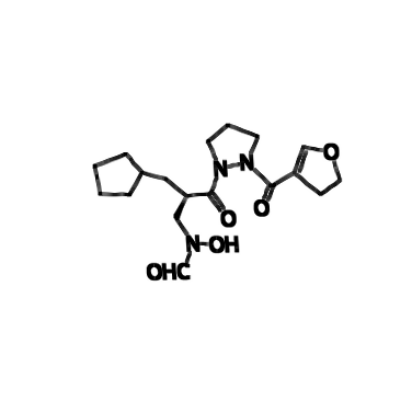 O=CN(O)C[C@@H](CC1CCCC1)C(=O)N1CCCN1C(=O)C1=COCC1